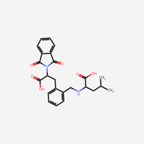 CC(C)CC(NCc1ccccc1CC(C(=O)O)N1C(=O)c2ccccc2C1=O)C(=O)O